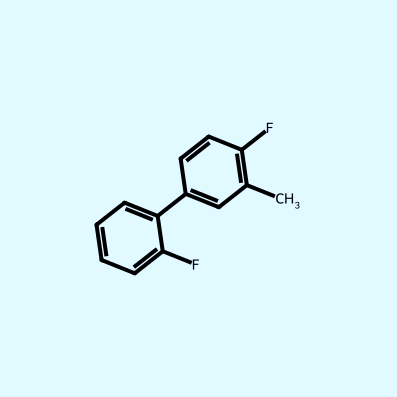 Cc1cc(-c2ccccc2F)ccc1F